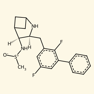 C[S+]([O-])N[C@H]1C2CC(C2)N[C@H]1Cc1cc(F)cc(-c2ccccc2)c1F